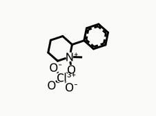 C[N+]1(O[Cl+3]([O-])([O-])[O-])CCCCC1c1ccccc1